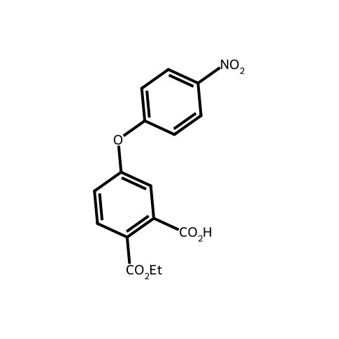 CCOC(=O)c1ccc(Oc2ccc([N+](=O)[O-])cc2)cc1C(=O)O